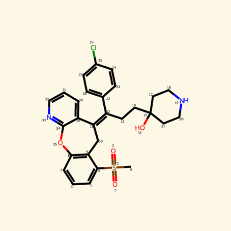 CS(=O)(=O)c1cccc2c1CC(=C(CCC1(O)CCNCC1)c1ccc(Cl)cc1)c1cccnc1O2